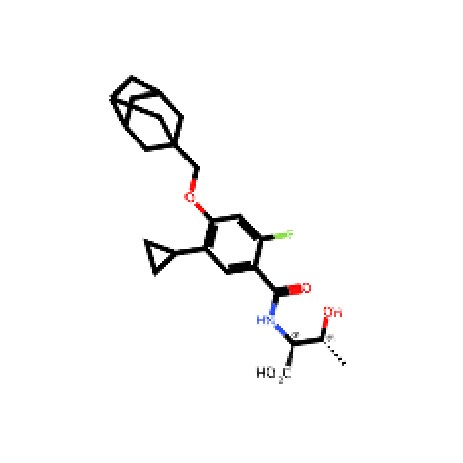 C[C@@H](O)[C@H](NC(=O)c1cc(C2CC2)c(OCC23CC4CC(C2)C(C4)C3)cc1F)C(=O)O